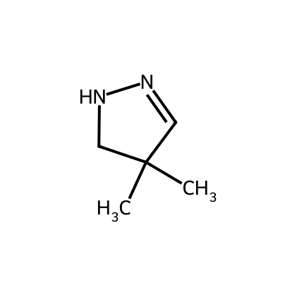 CC1(C)C=NNC1